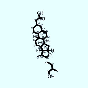 CC(CO)CC[C@H]1O[C@H]2C[C@H]3[C@@H]4CC=C5CC(CC(=O)O)CC[C@]5(C)[C@H]4CC[C@]3(C)[C@H]2[C@@H]1C